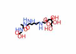 CO[C@]1(CCNCCCCC(N)C(=O)NC(C)C(=O)NCC(=O)O)CC(O)[C@@H](O)C(CO)O1